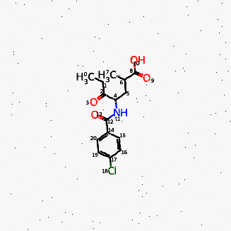 CCC(=O)C(CC(C)C(=O)O)NC(=O)c1ccc(Cl)cc1